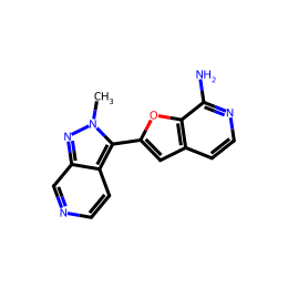 Cn1nc2cnccc2c1-c1cc2ccnc(N)c2o1